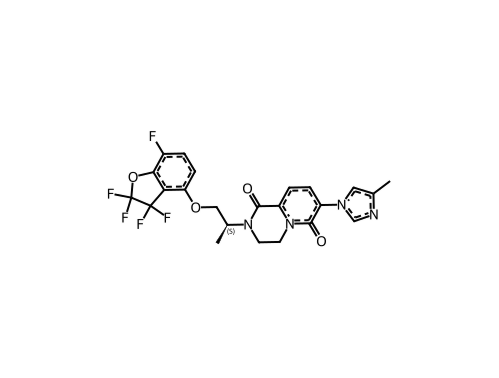 Cc1cn(-c2ccc3n(c2=O)CCN([C@@H](C)COc2ccc(F)c4c2C(F)(F)C(F)(F)O4)C3=O)cn1